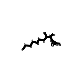 CCCCCCCC(C)C(C)C1OC1C